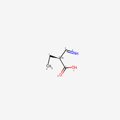 CC[C@@H](C=N)C(=O)O